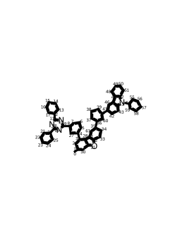 Cc1cc(-c2cccc(-c3nc(-c4ccccc4)nc(-c4ccccc4)n3)c2)c2c(c1)oc1ccc(-c3cccc(-c4ccc5c(c4)c4ccccc4n5-c4ccccc4)c3)cc12